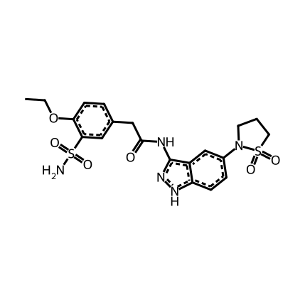 CCOc1ccc(CC(=O)Nc2n[nH]c3ccc(N4CCCS4(=O)=O)cc23)cc1S(N)(=O)=O